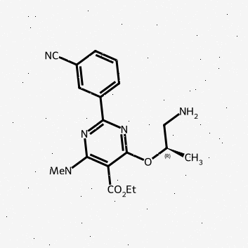 CCOC(=O)c1c(NC)nc(-c2cccc(C#N)c2)nc1O[C@H](C)CN